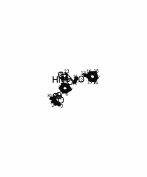 CC1(C)OB(c2ccc(OCCOCc3ccccc3)c(NS(C)(=O)=O)c2)OC1(C)C